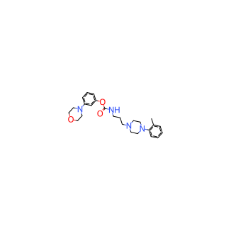 Cc1ccccc1N1CCN(CCCNC(=O)Oc2cccc(N3CCOCC3)c2)CC1